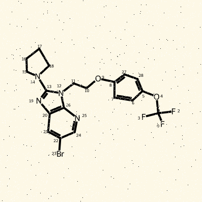 FC(F)(F)Oc1ccc(OCCn2c(N3CCCC3)nc3cc(Br)cnc32)cc1